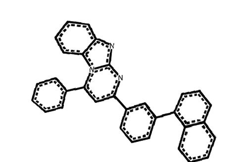 c1ccc(-c2cc(-c3cccc(-c4cccc5ccccc45)c3)nc3nc4ccccc4n23)cc1